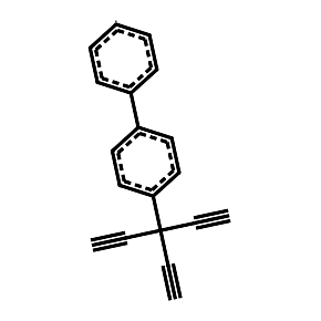 C#CC(C#C)(C#C)c1ccc(-c2cc[c]cc2)cc1